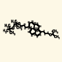 CC(C)OCCCc1ccc2ccc3c(CCCOC(C)(C)COC(C)(C)C)ccc4ccc1c2c43